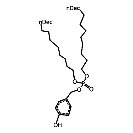 CCCCCCCCCCCCCCCCCCOP(=O)(OCCCCCCCCCCCCCCCCCC)OCc1ccc(O)cc1